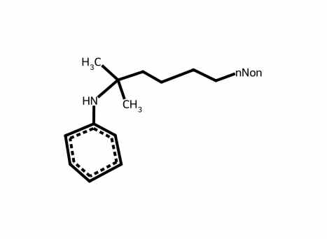 CCCCCCCCCCCCCC(C)(C)Nc1ccccc1